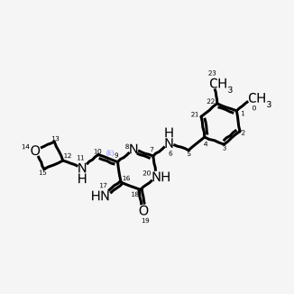 Cc1ccc(CNC2=N/C(=C/NC3COC3)C(=N)C(=O)N2)cc1C